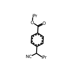 CC(C)OC(=O)c1ccc(C(C#N)C(C)C)cc1